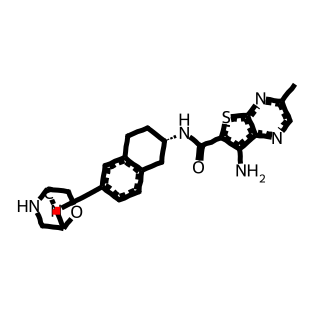 Cc1cnc2c(N)c(C(=O)N[C@H]3CCc4cc(N5CC6COC(CN6)C5)ccc4C3)sc2n1